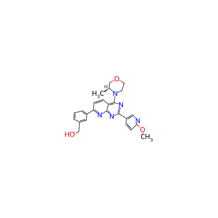 COc1ccc(-c2nc(N3CCOC[C@@H]3C)c3ccc(-c4cccc(CO)c4)nc3n2)cn1